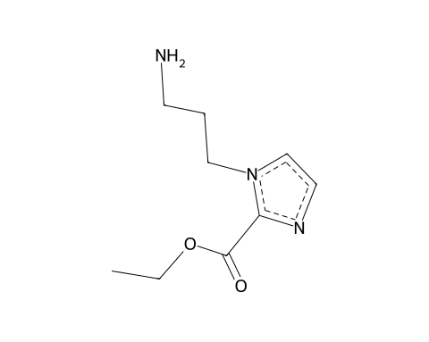 CCOC(=O)c1nccn1CCCN